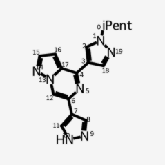 CCCC(C)n1cc(-c2nc(-c3cn[nH]c3)cn3nccc23)cn1